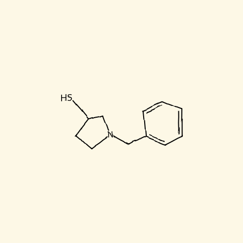 SC1CCN(Cc2ccccc2)C1